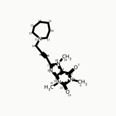 Cn1c(=O)c2c(nc(C#CCN3CCCCCC3)n2C)n(C)c1=O